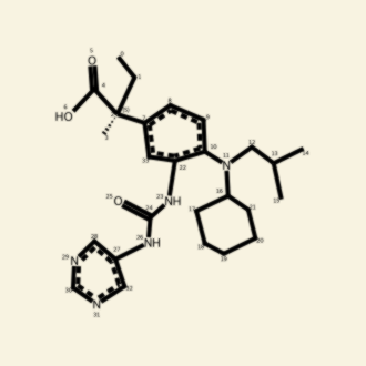 CC[C@](C)(C(=O)O)c1ccc(N(CC(C)C)C2CCCCC2)c(NC(=O)Nc2cncnc2)c1